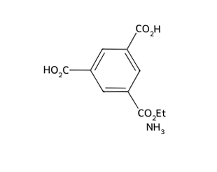 CCOC(=O)c1cc(C(=O)O)cc(C(=O)O)c1.N